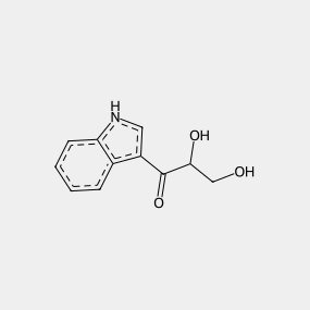 O=C(c1c[nH]c2ccccc12)C(O)CO